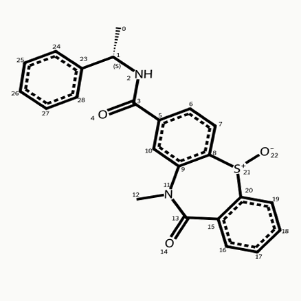 C[C@H](NC(=O)c1ccc2c(c1)N(C)C(=O)c1ccccc1[S+]2[O-])c1ccccc1